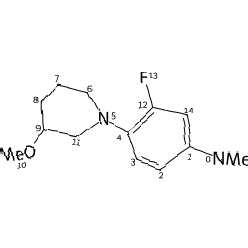 CNc1ccc(N2CCCC(OC)C2)c(F)c1